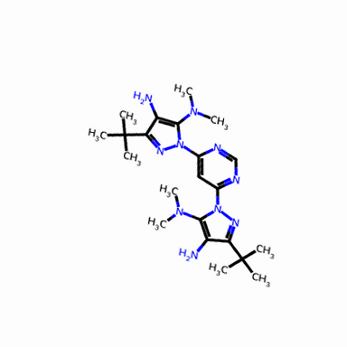 CN(C)c1c(N)c(C(C)(C)C)nn1-c1cc(-n2nc(C(C)(C)C)c(N)c2N(C)C)ncn1